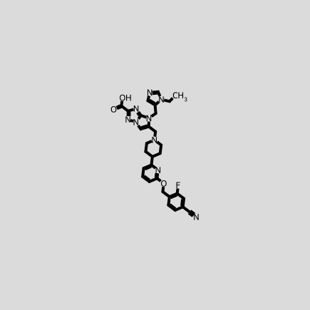 CCn1cncc1Cn1c(CN2CCC(c3cccc(OCc4ccc(C#N)cc4F)n3)CC2)cn2nc(C(=O)O)nc12